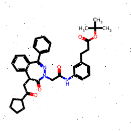 CC(C)(C)OC(=O)CCc1cccc(NC(=O)CN2N=C(c3ccccc3)c3ccccc3C(CC(=O)C3CCCC3)C2=O)c1